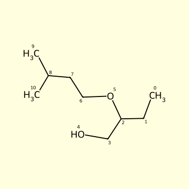 CCC(CO)OCCC(C)C